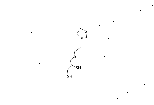 C1=CSSC1.CCCSCC(S)CS